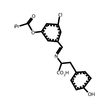 CC(C)C(=O)Oc1cc(Cl)cc(C=NC(Cc2ccc(O)cc2)C(=O)O)c1